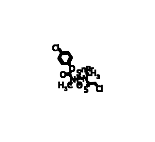 CCCSP(=O)(N(C)C(=O)Oc1ccc(Cl)cc1)N(C)C(=S)CCl